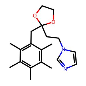 Cc1c(C)c(C)c(CC2(CCn3ccnc3)OCCO2)c(C)c1C